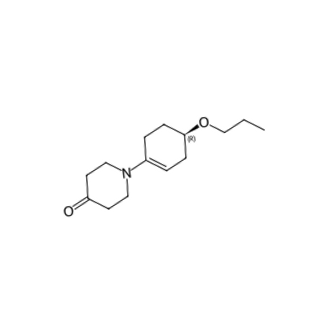 CCCO[C@H]1CC=C(N2CCC(=O)CC2)CC1